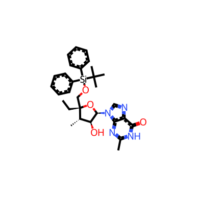 CC[C@@]1(CO[Si](c2ccccc2)(c2ccccc2)C(C)(C)C)O[C@@H](n2cnc3c(=O)[nH]c(C)nc32)[C@@H](O)[C@@H]1C